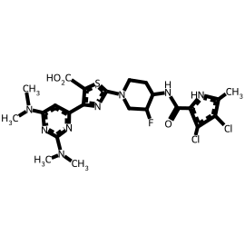 Cc1[nH]c(C(=O)NC2CCN(c3nc(-c4cc(N(C)C)nc(N(C)C)n4)c(C(=O)O)s3)CC2F)c(Cl)c1Cl